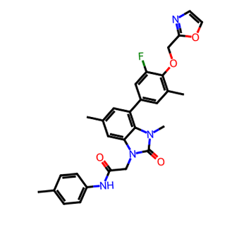 Cc1ccc(NC(=O)Cn2c(=O)n(C)c3c(-c4cc(C)c(OCc5ncco5)c(F)c4)cc(C)cc32)cc1